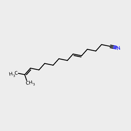 CC(C)=CCCCCCC=CCCCC#N